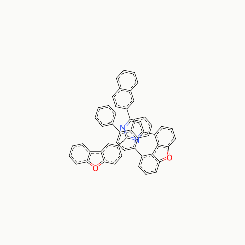 c1ccc(-c2ccc(-c3cccc4oc5cccc(-c6cc(-c7ccc8ccccc8c7)nc(-c7ccc8oc9ccccc9c8c7)n6)c5c34)c3ccccc23)cc1